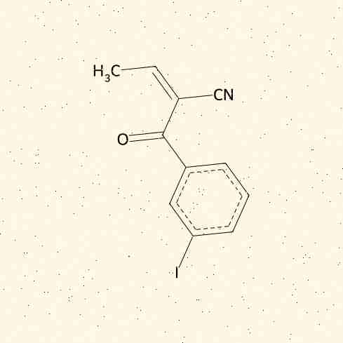 C/C=C(/C#N)C(=O)c1cccc(I)c1